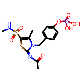 CNS(=O)(=O)c1s/c(=N/C(C)=O)n(Cc2ccc(OP(=O)(O)O)cc2)c1C